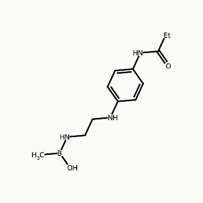 CCC(=O)Nc1ccc(NCCNB(C)O)cc1